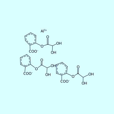 O=C([O-])c1ccccc1OC(=O)C(O)O.O=C([O-])c1ccccc1OC(=O)C(O)O.O=C([O-])c1ccccc1OC(=O)C(O)O.[Al+3]